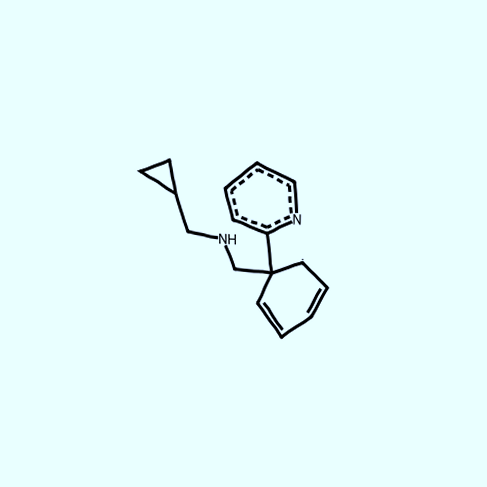 [CH]1C=CC=CC1(CNCC1CC1)c1ccccn1